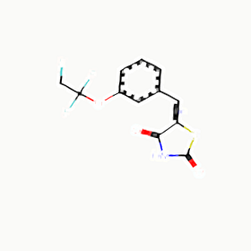 O=C1NC(=O)/C(=C\c2cccc(OC(F)(F)CF)c2)S1